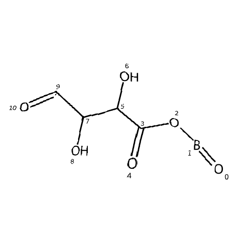 O=BOC(=O)C(O)C(O)[C]=O